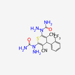 N#CC1=C(N(N)C(N)=O)SC(N(N)C(N)=O)=C(C#N)C1c1ccccc1C(F)(F)F